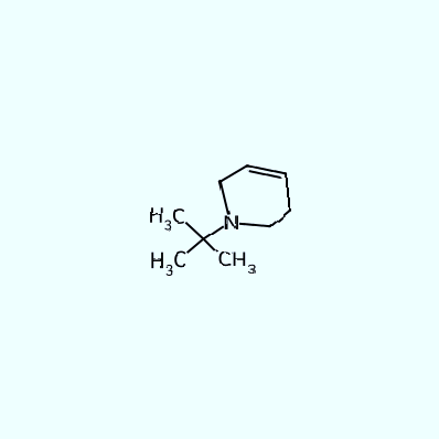 CC(C)(C)N1CC=CCC1